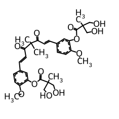 COc1ccc(/C=C/C(=O)C(C)(C)C(=O)/C=C/c2ccc(OC)c(OC(=O)C(C)(CO)CO)c2)cc1OC(=O)C(C)(CO)CO